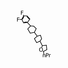 CCCC1CCC(C2CCC(C3CCC(c4ccc(F)c(F)c4)CC3)CC2)O1